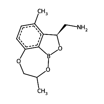 Cc1ccc2c3c1[C@@H](CN)OB3OC(C)CO2